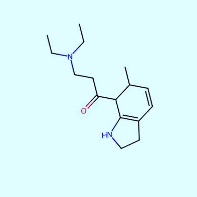 CCN(CC)CCC(=O)C1C2=C(C=CC1C)CCN2